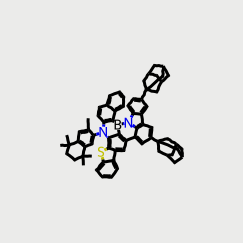 Cc1cc2c(cc1N1c3ccc4ccccc4c3B3c4c(cc5c(sc6ccccc65)c41)-c1cc(C45CC6CC(CC(C6)C4)C5)cc4c5cc(C67CC8CC(CC(C8)C6)C7)ccc5n3c14)C(C)(C)CCC2(C)C